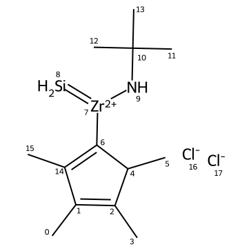 CC1=C(C)C(C)[C]([Zr+2](=[SiH2])[NH]C(C)(C)C)=C1C.[Cl-].[Cl-]